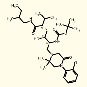 CCC(C)CNC(=O)[C@@H](C[C@H](O)[C@H](CN1CC(=O)N(c2ccccc2Cl)CC1(C)C)NC(=O)OC(C)(C)C)C(C)C